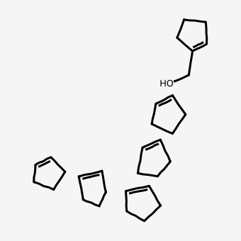 C1=CCCC1.C1=CCCC1.C1=CCCC1.C1=CCCC1.C1=CCCC1.OCC1=CCCC1